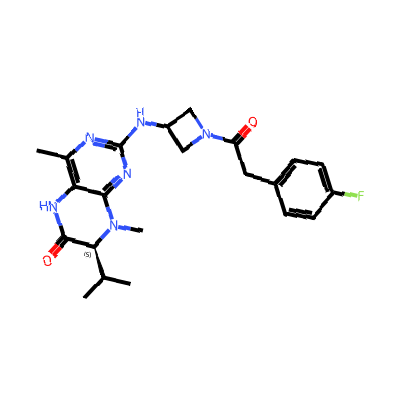 Cc1nc(NC2CN(C(=O)Cc3ccc(F)cc3)C2)nc2c1NC(=O)[C@H](C(C)C)N2C